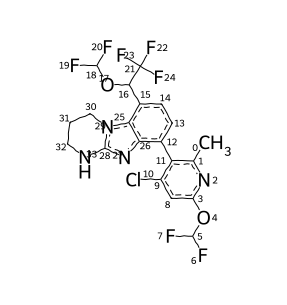 Cc1nc(OC(F)F)cc(Cl)c1-c1ccc(C(OC(F)F)C(F)(F)F)c2c1nc1n2CCCN1